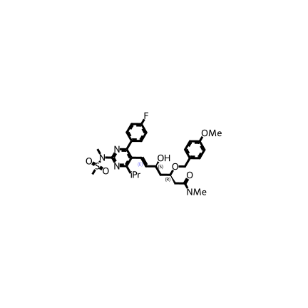 CNC(=O)C[C@@H](C[C@H](O)/C=C/c1c(-c2ccc(F)cc2)nc(N(C)S(C)(=O)=O)nc1C(C)C)OCc1ccc(OC)cc1